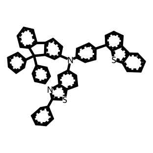 c1ccc(-c2nc3cc(N(c4ccc(-c5cccc6c5sc5ccccc56)cc4)c4ccc5c(c4)C(c4ccccc4)(c4ccccc4)c4ccccc4-5)ccc3s2)cc1